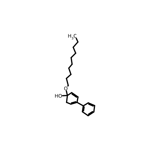 CCCCCCCCCCOC1(O)C=CC(c2ccccc2)=CC1